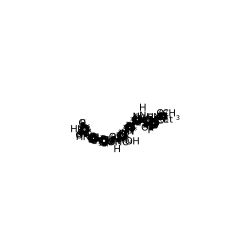 CCN(C)S(=O)(=O)Nc1ccc(F)c(C(=O)c2c[nH]c3ncc(-c4ccc(N5CCC(NC(=O)CN6CCC(c7ccc(NC8CCC(=O)NC8=O)cc7)CC6)CC5)nc4)cc23)c1F.O=CO